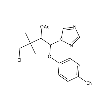 CC(=O)OC(C(Oc1ccc(C#N)cc1)n1cncn1)C(C)(C)CCl